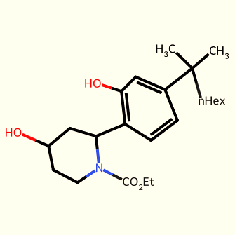 CCCCCCC(C)(C)c1ccc(C2CC(O)CCN2C(=O)OCC)c(O)c1